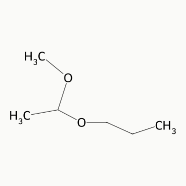 CCCOC(C)OC